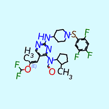 C/C(=C\c1cnc(NC2CCN(Sc3cc(F)c(F)cc3F)CC2)nc1N(C=O)C1CCCC1C)OC(F)F